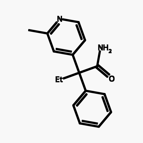 CCC(C(N)=O)(c1ccccc1)c1ccnc(C)c1